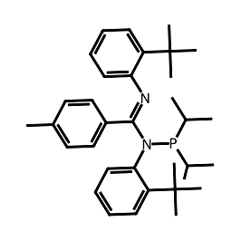 Cc1ccc(/C(=N\c2ccccc2C(C)(C)C)N(c2ccccc2C(C)(C)C)P(C(C)C)C(C)C)cc1